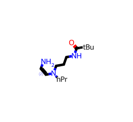 CCCN(/C=C\N)CCCNC(=O)C(C)(C)C